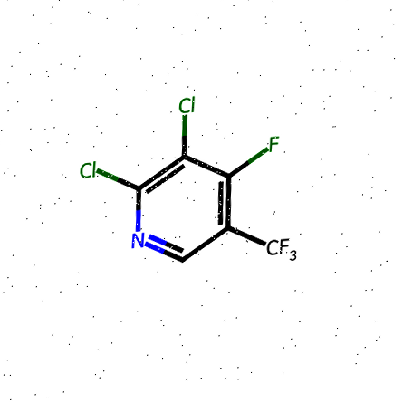 Fc1c(C(F)(F)F)cnc(Cl)c1Cl